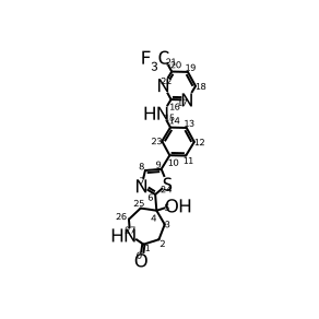 O=C1CCC(O)(c2ncc(-c3cccc(Nc4nccc(C(F)(F)F)n4)c3)s2)CCN1